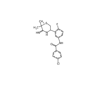 CC1(C)SCC(c2cc(NC(=O)c3ccc(Cl)cc3)ccc2F)NC1=N